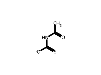 CC(=O)NC([O])=S